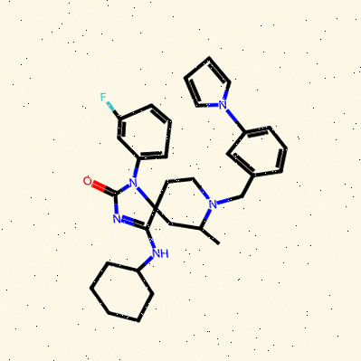 CC1CC2(CCN1Cc1cccc(-n3cccc3)c1)C(NC1CCCCC1)=NC(=O)N2c1cccc(F)c1